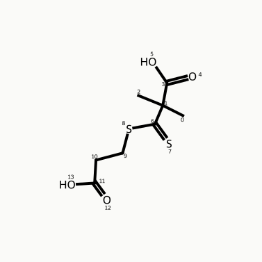 CC(C)(C(=O)O)C(=S)SCCC(=O)O